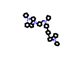 CN(c1ccccc1)c1cccc2c1c1c3ccccc3ccc1n2-c1cccc(CN(c2ccccc2)c2ccc(-c3ccc(-c4cccc5c4c4ccccc4n5-c4ccccc4)cc3)cc2)c1